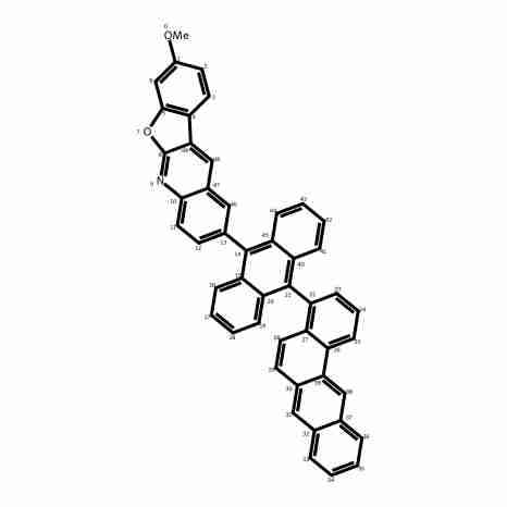 COc1ccc2c(c1)oc1nc3ccc(-c4c5ccccc5c(-c5cccc6c5ccc5cc7ccccc7cc56)c5ccccc45)cc3cc12